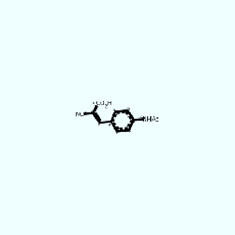 CC(=O)Nc1ccc(C=C(C#N)C(=O)O)cc1